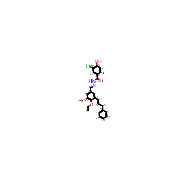 CCOc1c(O)cc(/C=N/NC(=O)c2ccc(O)c(Cl)c2)cc1/C=C/Cc1ccccc1